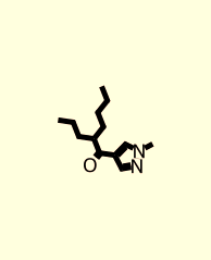 CCCCC(CCC)C(=O)c1cnn(C)c1